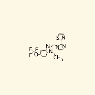 CCn1c(Cn2ccnc2-c2nccs2)nc2cc(OC(F)(F)F)ccc21